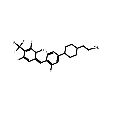 CCCC1CCC(c2ccc(/C=C3/C=C(F)C(C(F)(F)F)=C(F)C3C)c(F)c2)CC1